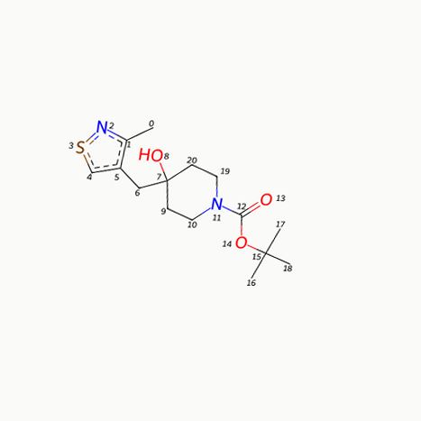 Cc1nscc1CC1(O)CCN(C(=O)OC(C)(C)C)CC1